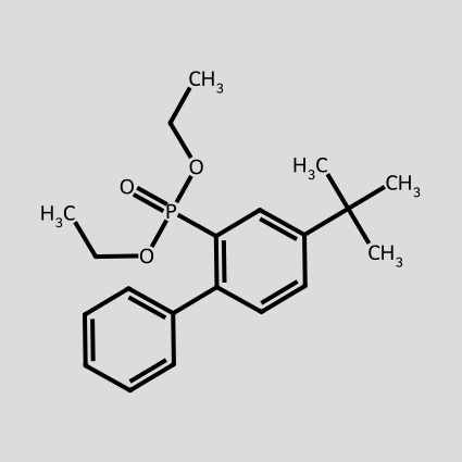 CCOP(=O)(OCC)c1cc(C(C)(C)C)ccc1-c1ccccc1